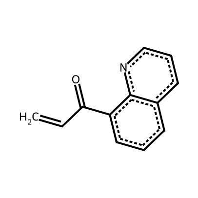 C=CC(=O)c1cccc2cccnc12